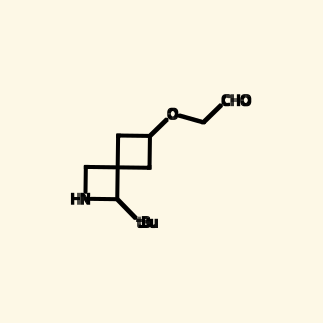 CC(C)(C)C1NCC12CC(OCC=O)C2